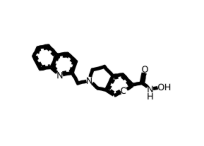 O=C(NO)c1ccc2c(c1)CCN(Cc1ccc3ccccc3n1)C2